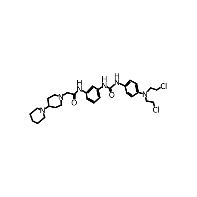 O=C(CN1CCC(N2CCCCC2)CC1)Nc1cccc(NC(=O)Nc2ccc(N(CCCl)CCCl)cc2)c1